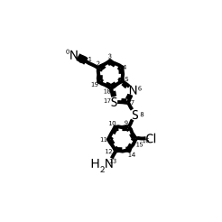 N#Cc1ccc2nc(Sc3ccc(N)cc3Cl)sc2c1